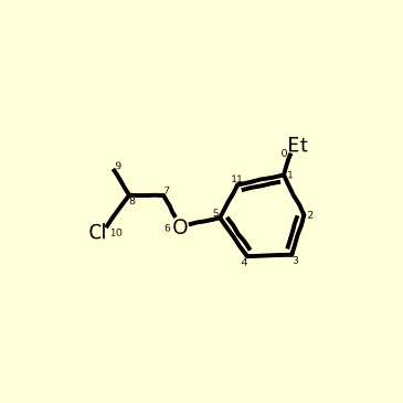 CCc1cccc(OCC(C)Cl)c1